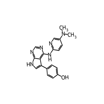 CN(C)c1ccc(Nc2ncnc3[nH]cc(-c4ccc(O)cc4)c23)nc1